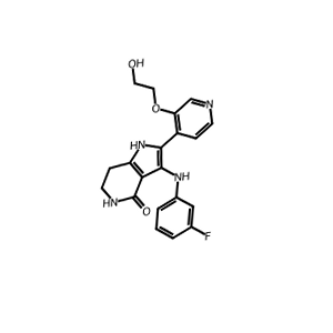 O=C1NCCc2[nH]c(-c3ccncc3OCCO)c(Nc3cccc(F)c3)c21